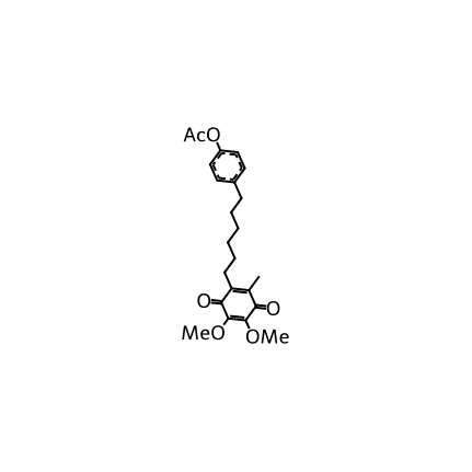 COC1=C(OC)C(=O)C(CCCCCCc2ccc(OC(C)=O)cc2)=C(C)C1=O